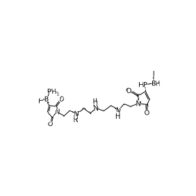 O=C1C=C(PBI)C(=O)N1CCNCCNCCNCCN1C(=O)C=C(B(P)I)C1=O